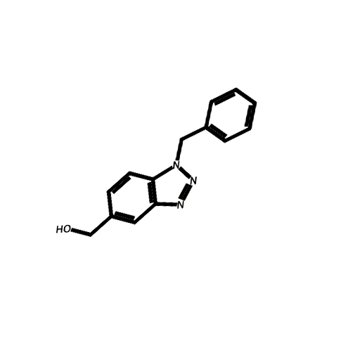 OCc1ccc2c(c1)nnn2Cc1ccccc1